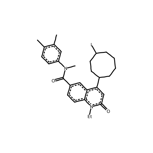 CCn1c(=O)cc(C2CCCCC(I)CC2)c2cc(C(=O)N(C)c3ccc(C)c(C)c3)ccc21